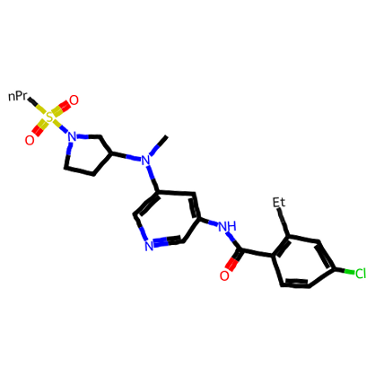 CCCS(=O)(=O)N1CCC(N(C)c2cncc(NC(=O)c3ccc(Cl)cc3CC)c2)C1